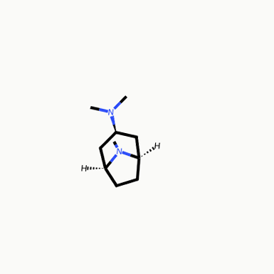 CN(C)[C@H]1C[C@H]2CC[C@@H](C1)N2C